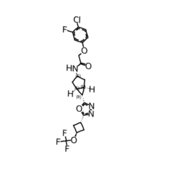 O=C(COc1ccc(Cl)c(F)c1)N[C@@H]1C[C@@H]2[C@H](C1)[C@H]2c1nnc([C@H]2C[C@H](OC(F)(F)F)C2)o1